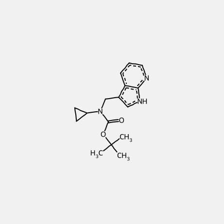 CC(C)(C)OC(=O)N(Cc1c[nH]c2ncccc12)C1CC1